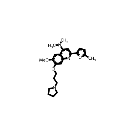 COc1cc2c(N(C)C)cc(-c3ccc(C)o3)nc2cc1OCCCN1CCCC1